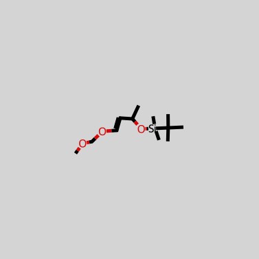 COCOC=CC(C)O[Si](C)(C)C(C)(C)C